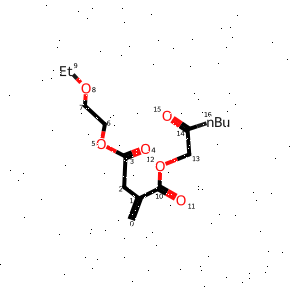 C=C(CC(=O)OCCOCC)C(=O)OCC(=O)CCCC